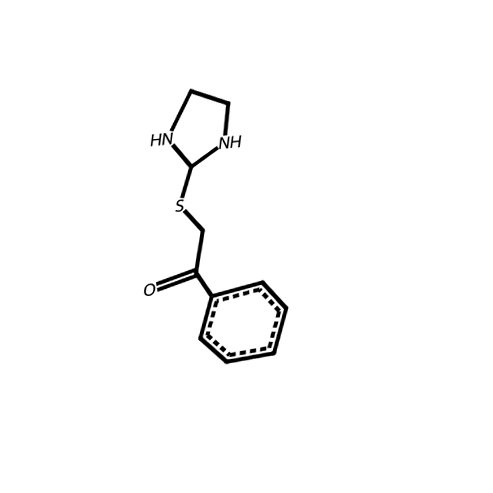 O=C(CSC1NCCN1)c1ccccc1